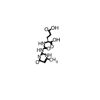 Cc1cc(=O)nc(NC(=O)N[C@@H](CCC(=O)O)C(=O)O)[nH]1